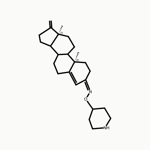 C=C1CCC2C3CCC4=CC(=NOC5CCNCC5)CC[C@]4(C)C3CC[C@]12C